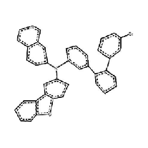 Brc1cccc(-c2ccccc2-c2cccc(N(c3ccc4ccccc4c3)c3ccc4oc5ccccc5c4c3)c2)c1